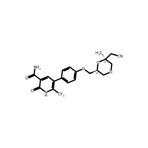 C[C@]1(CC#N)COC[C@@H](COc2ccc(-c3cc(C(N)=O)c(=O)[nH]c3C(F)(F)F)cc2)O1